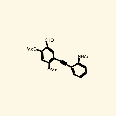 COc1cc(OC)c(C=O)cc1C#Cc1ccccc1NC(C)=O